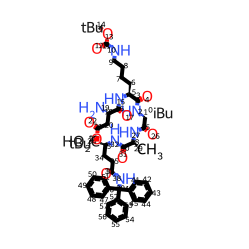 CC[C@H](C)[C@H](NC(=O)[C@H](CCCCNC(=O)OC(C)(C)C)NC(=O)[C@@H](N)CC(=O)OC(C)(C)C)C(=O)N[C@@H](C)C(=O)N[C@@H](CCC(=O)NC(c1ccccc1)(c1ccccc1)c1ccccc1)C(=O)O